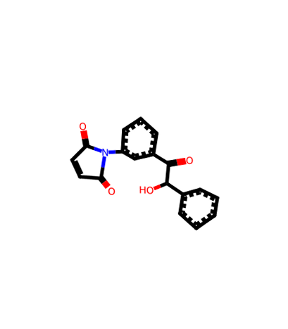 O=C(c1cccc(N2C(=O)C=CC2=O)c1)C(O)c1ccccc1